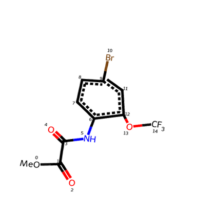 COC(=O)C(=O)Nc1ccc(Br)cc1OC(F)(F)F